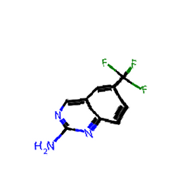 Nc1ncc2cc(C(F)(F)F)ccc2n1